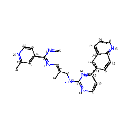 C=N/C(=N\C=C(/C)CNc1nccc(-c2ccc3ncccc3c2)n1)c1ccnc(C)c1